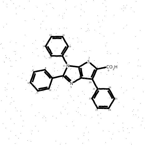 O=C(O)c1sc2c(nc(-c3ccccc3)n2-c2ccccc2)c1-c1ccccc1